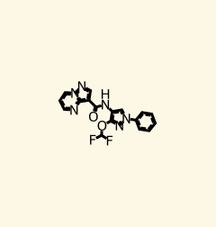 O=C(Nc1cn(-c2ccccc2)nc1OC(F)F)c1cnn2cccnc12